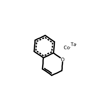 C1=Cc2ccccc2OC1.[Co].[Ta]